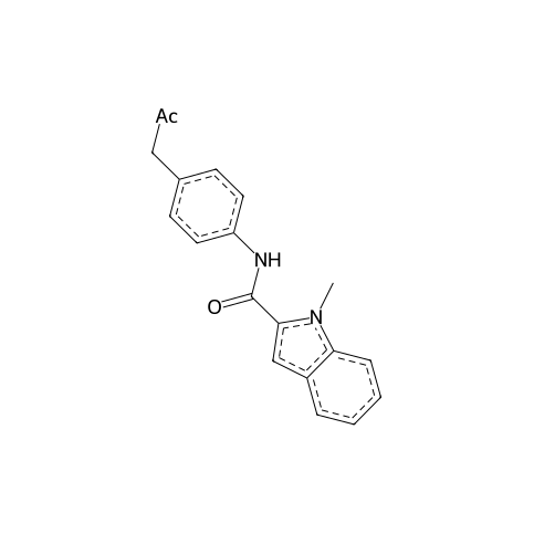 CC(=O)Cc1ccc(NC(=O)c2cc3ccccc3n2C)cc1